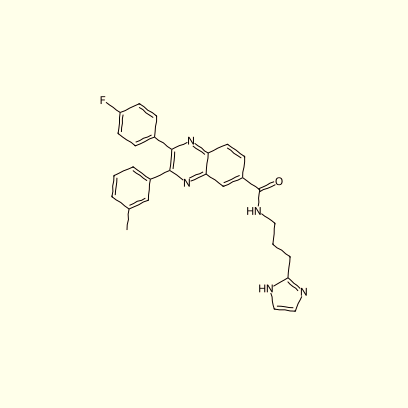 Cc1cccc(-c2nc3cc(C(=O)NCCCc4ncc[nH]4)ccc3nc2-c2ccc(F)cc2)c1